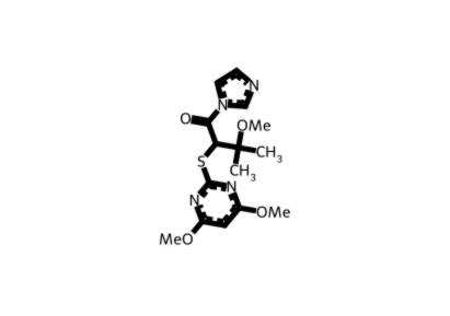 COc1cc(OC)nc(SC(C(=O)n2ccnc2)C(C)(C)OC)n1